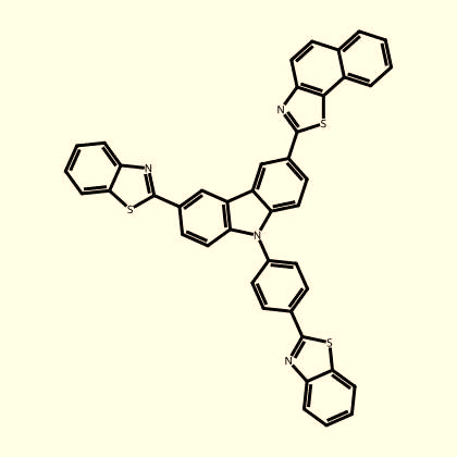 c1ccc2c(c1)ccc1nc(-c3ccc4c(c3)c3cc(-c5nc6ccccc6s5)ccc3n4-c3ccc(-c4nc5ccccc5s4)cc3)sc12